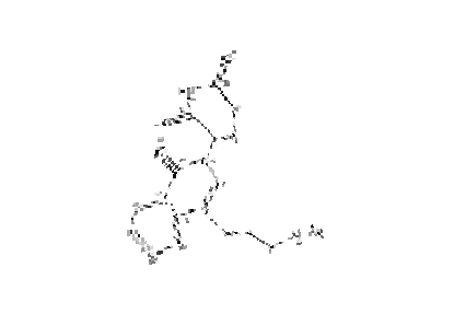 CC(=O)NCCCc1cn(C2CCC(=O)NC2=O)c(=O)c2ccccc12